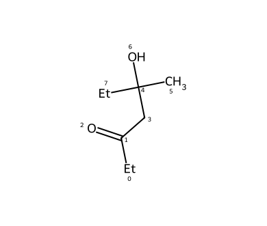 CCC(=O)CC(C)(O)CC